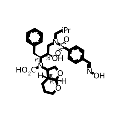 CC(C)CN(C[C@@H](O)[C@H](Cc1ccccc1)N(C(=O)O)C1CO[C@@H]2OCCC[C@H]12)S(=O)(=O)c1ccc(C=NO)cc1